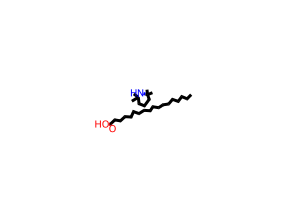 CC1(C)CCCC(C)(C)N1.CCCCCCCCCCCCCCCCCC(=O)O